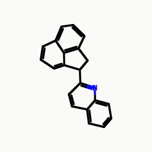 c1ccc2nc(C3Cc4cccc5cccc3c45)ccc2c1